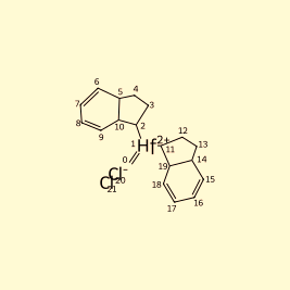 [CH2]=[Hf+2]([CH]1CCC2C=CC=CC21)[CH]1CCC2C=CC=CC21.[Cl-].[Cl-]